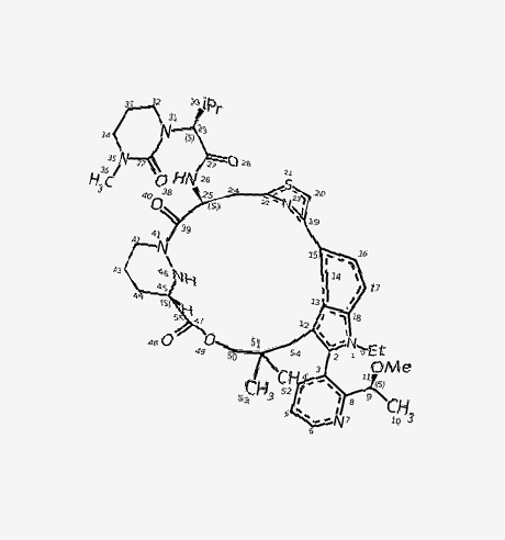 CCn1c(-c2cccnc2[C@H](C)OC)c2c3cc(ccc31)-c1csc(n1)C[C@H](NC(=O)[C@H](C(C)C)N1CCCN(C)C1=O)C(=O)N1CCC[C@H](N1)C(=O)OCC(C)(C)C2